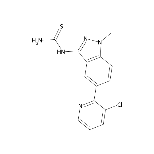 Cn1nc(NC(N)=S)c2cc(-c3ncccc3Cl)ccc21